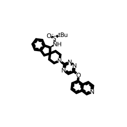 CC(C)(C)[S+]([O-])N[C@@H]1c2ccccc2CC12CCN(c1ncc(Oc3cccc4cnccc34)nn1)CC2